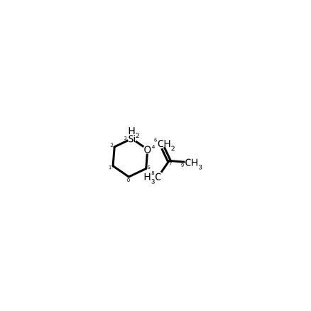 C1CC[SiH2]OC1.C=C(C)C